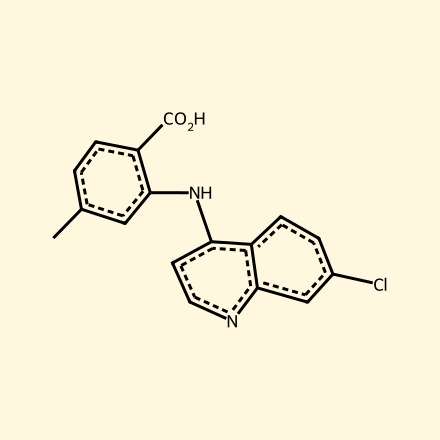 Cc1ccc(C(=O)O)c(Nc2ccnc3cc(Cl)ccc23)c1